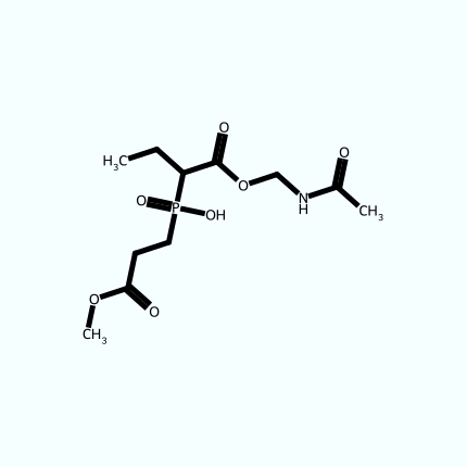 CCC(C(=O)OCNC(C)=O)P(=O)(O)CCC(=O)OC